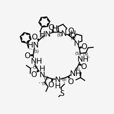 CC[C@H](C)[C@@H]1NC(=O)[C@H](C(C)C)NC(=O)[C@H](Cc2ccccc2)NC(=O)[C@H](Cc2ccccc2)NC(=O)[C@@H]2CCCN2C(=O)[C@@H]2CCCN2C(=O)[C@H]([C@@H](C)CC)NC(=O)[C@H](CC(C)C)NC(=O)[C@H](CCSC)NC1=O